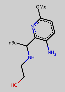 CCCCC(NCCO)c1nc(OC)ccc1N